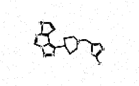 Brc1ncc(CN2CCC(c3nnn4cnc5[nH]ccc5c34)CC2)s1